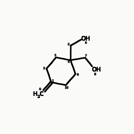 C=C1CCC(CO)(CO)CC1